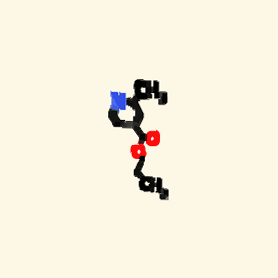 C=CCOC(=O)c1ccnc(C)c1